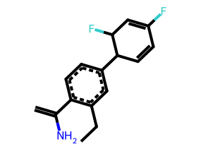 C=C(N)c1ccc(C2C=CC(F)=CC2F)cc1CC